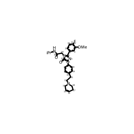 COc1cc(-c2nn(-c3ccc(CCN4CC=CCC4)cc3)c(=O)n2CC(=O)NC(C)C)ccc1F